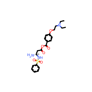 CCN(CC)CCOc1ccc(C(=O)OC(=O)C[C@@H](N)NS(=O)(=O)c2ccccc2)cc1